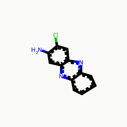 Nc1cc2nc3c[c]ccc3nc2cc1Cl